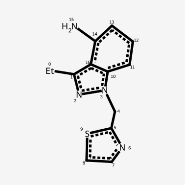 CCc1nn(Cc2nccs2)c2cccc(N)c12